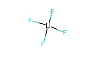 [F][Li]([F])([F])[F]